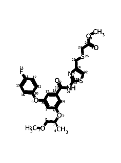 COC[C@H](C)Oc1cc(Oc2ccc(F)cc2)cc(C(=O)Nc2nc(CSCC(=O)OC)cs2)c1